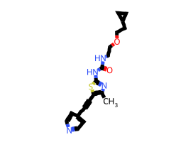 Cc1nc(NC(=O)NCCOCCC2CC2)sc1C#Cc1ccncc1